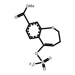 COC(=O)c1ccc2c(c1)SCCC=C2OS(=O)(=O)C(F)(F)F